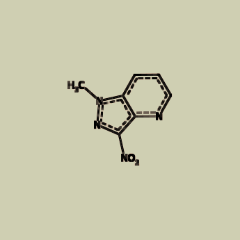 Cn1nc([N+](=O)[O-])c2ncccc21